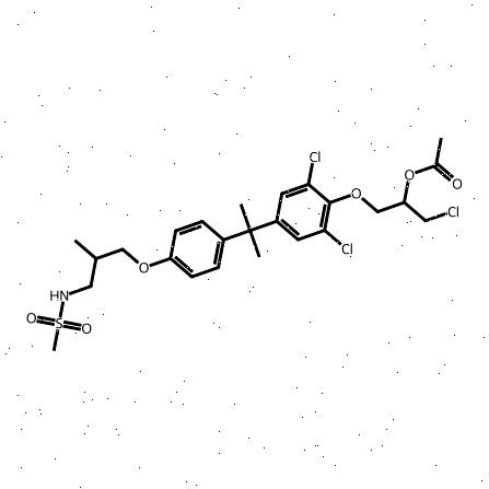 CC(=O)OC(CCl)COc1c(Cl)cc(C(C)(C)c2ccc(OCC(C)CNS(C)(=O)=O)cc2)cc1Cl